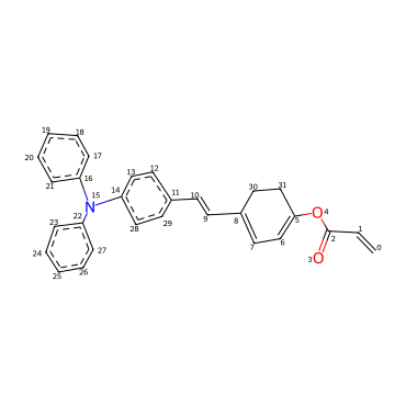 C=CC(=O)OC1=CC=C(C=Cc2ccc(N(c3ccccc3)c3ccccc3)cc2)CC1